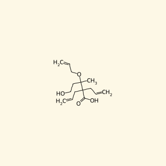 C=CCOC(C)(CCO)C(CC=C)(CC=C)C(=O)O